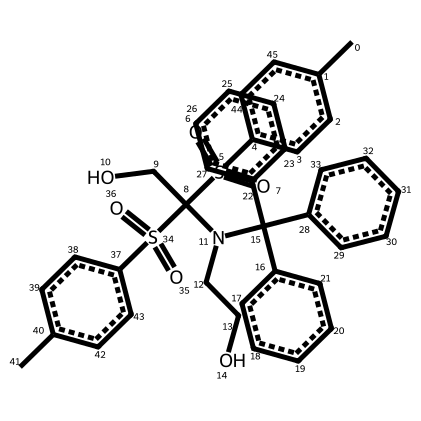 Cc1ccc(S(=O)(=O)C(CO)(N(CCO)C(c2ccccc2)(c2ccccc2)c2ccccc2)S(=O)(=O)c2ccc(C)cc2)cc1